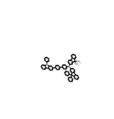 CC1(C)c2ccccc2-c2ccc(N(c3ccc(-c4ccc(-c5ccc6c7ccccc7n(-c7ccccc7)c6c5)cc4)cc3)c3ccc4c(c3)C(c3ccccc3)(c3ccccc3)c3ccccc3-4)cc21